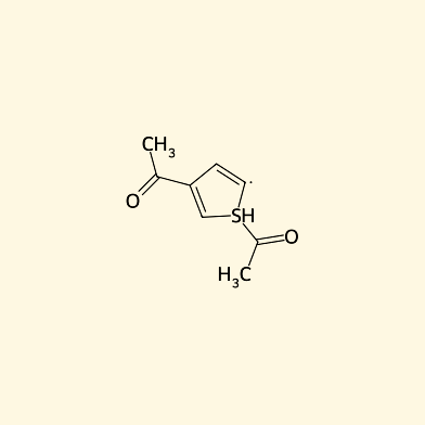 CC(=O)C1=C[SH](C(C)=O)[C]=C1